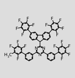 Cc1c(F)c(F)c(F)c(-c2cccc(-c3nc(-c4cccc(-c5c(F)c(F)c(F)c(F)c5F)c4)nc(C4c5ccc(-c6c(F)c(F)c(F)c(F)c6F)cc5-c5cc(-c6c(F)c(F)c(F)c(F)c6F)ccc54)n3)c2)c1F